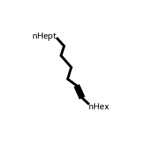 [CH2]CCCCCC#CCCCCCCCCCC[CH2]